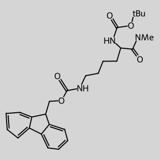 CNC(=O)C(CCCCNC(=O)OCC1c2ccccc2-c2ccccc21)NC(=O)OC(C)(C)C